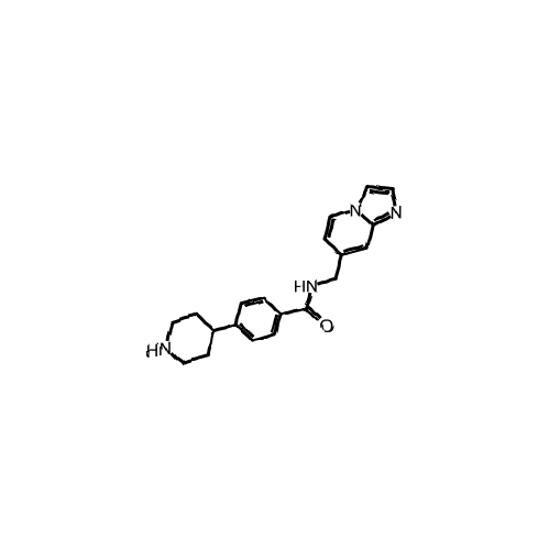 O=C(NCc1ccn2ccnc2c1)c1ccc(C2CCNCC2)cc1